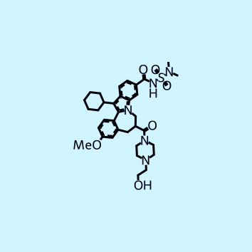 COc1ccc2c(c1)CC(C(=O)N1CCN(CCO)CC1)Cn1c-2c(C2CCCCC2)c2ccc(C(=O)NS(=O)(=O)N(C)C)cc21